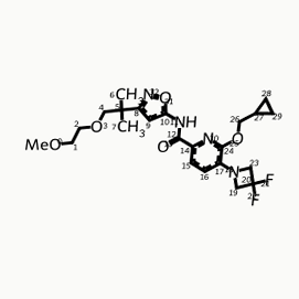 COCCOCC(C)(C)c1cc(NC(=O)c2ccc(N3CC(F)(F)C3)c(OCC3CC3)n2)on1